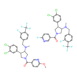 CN(Cc1ccc(C(F)(F)F)c(F)c1)C1CN(C(=O)c2ccc(F)nc2)CC1c1ccc(Cl)c(Cl)c1.COc1ccc(C(=O)N2CC(c3ccc(Cl)c(Cl)c3)C(N(C)Cc3ccc(C(F)(F)F)c(F)c3)C2)cn1